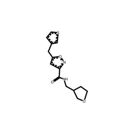 O=C(NCC1CCOC1)c1cc(Cc2ccsc2)on1